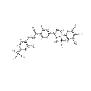 Cc1cc(C2=NOC(c3cc(Cl)c(F)c(Cl)c3)(C(F)(F)F)C2)ccc1C(=O)NCc1ncc(C(F)(F)F)cc1Cl